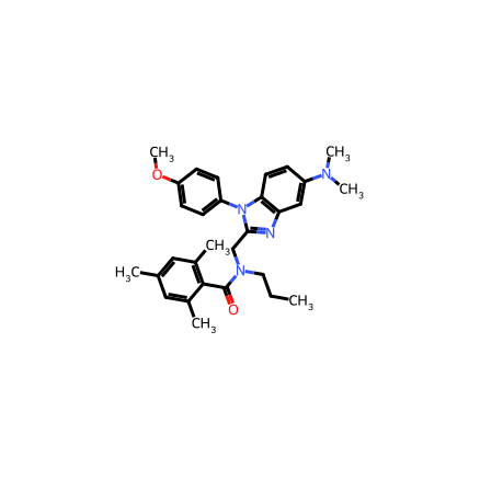 CCCN(Cc1nc2cc(N(C)C)ccc2n1-c1ccc(OC)cc1)C(=O)c1c(C)cc(C)cc1C